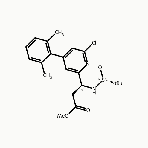 COC(=O)C[C@H](N[S@+]([O-])C(C)(C)C)c1cc(-c2c(C)cccc2C)cc(Cl)n1